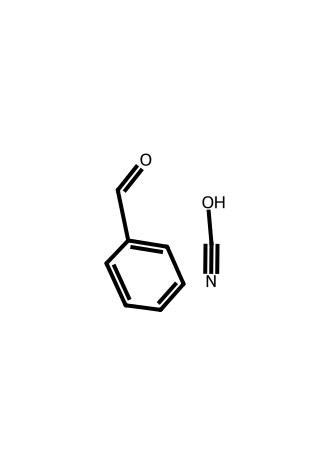 N#CO.O=Cc1ccccc1